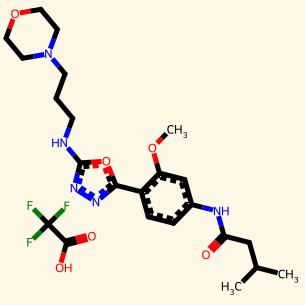 COc1cc(NC(=O)CC(C)C)ccc1-c1nnc(NCCCN2CCOCC2)o1.O=C(O)C(F)(F)F